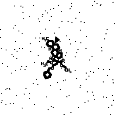 CCOC(=O)C(CCOCc1ccccc1)(C(=O)OCC)[C@H]1CCC2[C@@H]3CC[C@]4(C5CC5)C[C@@H](C)CC[C@@H]4C3CC[C@@]21C